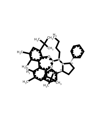 CCCCN(P1[C@H](c2ccccc2)CC[C@H]1c1ccccc1)p1oc2c(C(C)(C)C)cc(C)c(C)c2c2c(C)c(C)cc(C(C)(C)C)c2o1